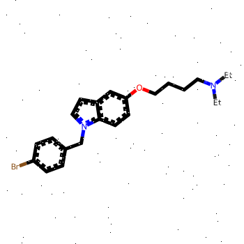 CCN(CC)CCCCOc1ccc2c(ccn2Cc2ccc(Br)cc2)c1